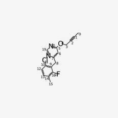 CC#CCOc1cc(Cc2c(Cl)ccc(C)c2F)ncn1